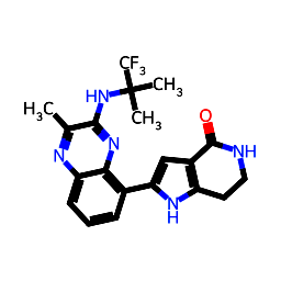 Cc1nc2cccc(-c3cc4c([nH]3)CCNC4=O)c2nc1NC(C)(C)C(F)(F)F